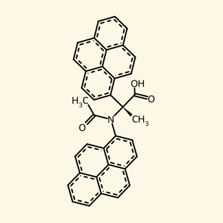 CC(=O)N(c1ccc2ccc3cccc4ccc1c2c34)[C@@](C)(C(=O)O)c1ccc2ccc3cccc4ccc1c2c34